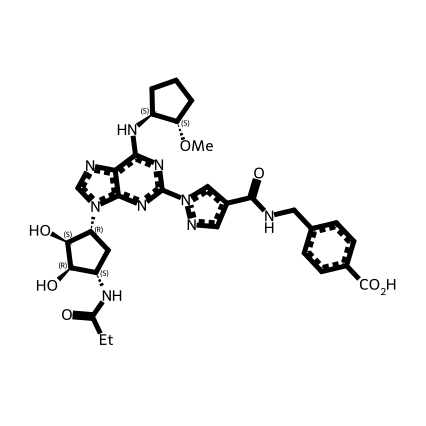 CCC(=O)N[C@H]1C[C@@H](n2cnc3c(N[C@H]4CCC[C@@H]4OC)nc(-n4cc(C(=O)NCc5ccc(C(=O)O)cc5)cn4)nc32)[C@H](O)[C@@H]1O